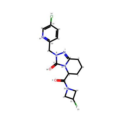 O=C(C1CCCc2nn(Cc3ccc(Cl)cn3)c(=O)n21)N1CC(F)C1